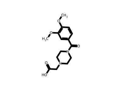 COc1ccc(C(=O)N2CCN(CC(=O)O)CC2)cc1OC